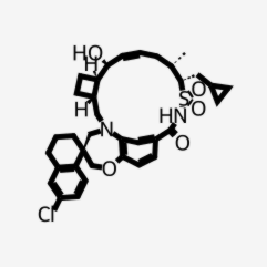 C[C@H]1C/C=C\[C@H](O)[C@@H]2CC[C@H]2CN2C[C@@]3(CCCc4cc(Cl)ccc43)COc3ccc(cc32)C(=O)NS(=O)(=O)[C@H]1CC1CC1